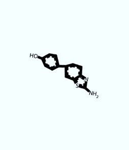 Nc1nc2ccc(-c3ccc(O)cc3)cc2s1